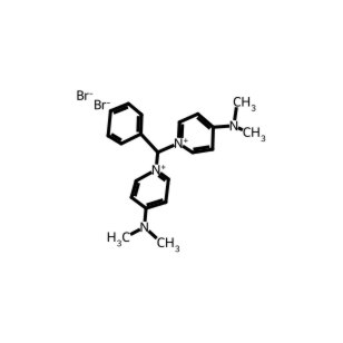 CN(C)c1cc[n+](C(c2ccccc2)[n+]2ccc(N(C)C)cc2)cc1.[Br-].[Br-]